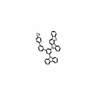 N#Cc1ccc(-c2cccc(-c3cc(-n4c5ccccc5c5ccccc54)cc(-n4c5ccccc5c5c6sc7ccccc7c6ccc54)c3)c2)cc1